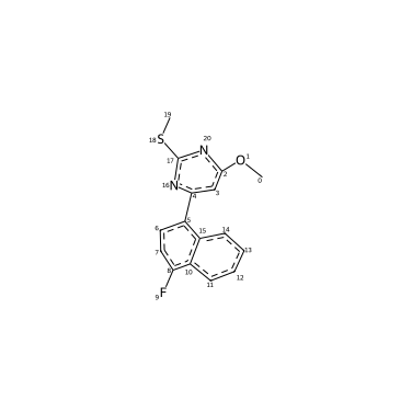 COc1cc(-c2ccc(F)c3ccccc23)nc(SC)n1